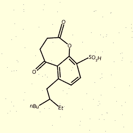 CCCCC(CC)Cc1ccc(S(=O)(=O)O)c2c1C(=O)CCC(=O)O2